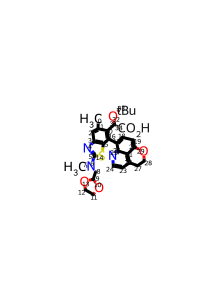 Cc1cc2nc(N(C)CC3OCCO3)sc2c(-c2ccc3c4c(ccnc24)CCO3)c1[C@H](OC(C)(C)C)C(=O)O